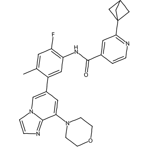 Cc1cc(F)c(NC(=O)c2ccnc(C34CC(C3)C4)c2)cc1-c1cc(N2CCOCC2)c2nccn2c1